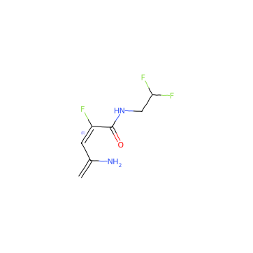 C=C(N)/C=C(/F)C(=O)NCC(F)F